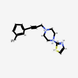 CC(C)c1cccc(C#CCN2CCN(c3nccs3)CC2)c1